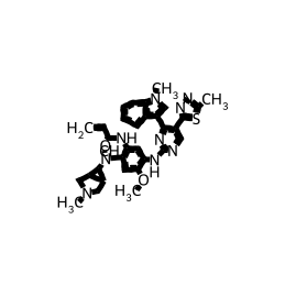 C=CC(=O)Nc1cc(Nc2ncc(-c3nnc(C)s3)c(-c3cn(C)c4ccccc34)n2)c(OC)cc1N(C)C1C2CN(C)CC21